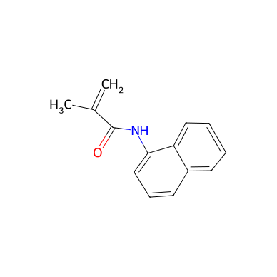 C=C(C)C(=O)Nc1cccc2ccccc12